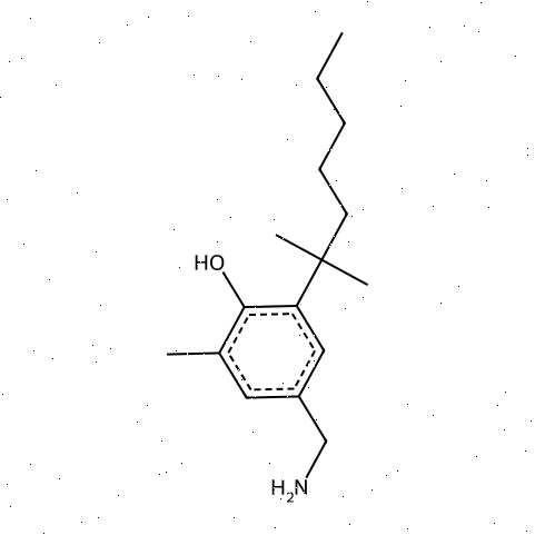 CCCCCC(C)(C)c1cc(CN)cc(C)c1O